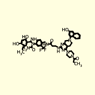 CCC(=O)N1CCN(c2nc(NCCC(=O)NCc3ccc(N(C(=N)c4cc(CC)c(O)cc4O)C(N)=O)cc3C(F)(F)F)nc3c2CCN(c2cc(O)cc4ccccc24)C3)CC1